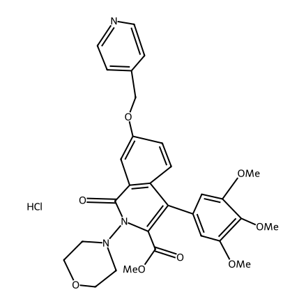 COC(=O)c1c(-c2cc(OC)c(OC)c(OC)c2)c2ccc(OCc3ccncc3)cc2c(=O)n1N1CCOCC1.Cl